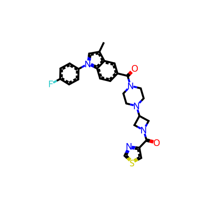 Cc1cn(-c2ccc(F)cc2)c2ccc(C(=O)N3CCN(C4CN(C(=O)c5cscn5)C4)CC3)cc12